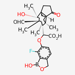 C[C@@H]1CC[C@@]23CCC(=O)[C@H]2[C@@]1(C)[C@H](C(Oc1ccc2c(c1F)B(O)OC2)C(=O)O)C[C@@](C)(C=O)[C@@H](O)[C@@H]3C